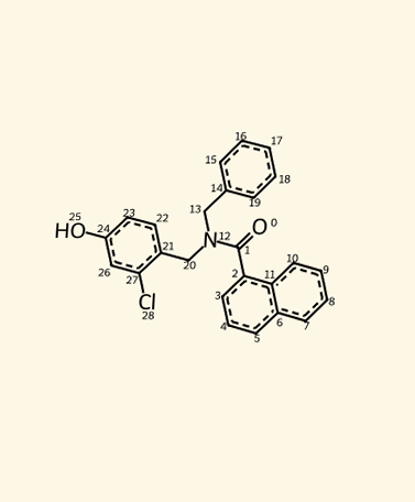 O=C(c1cccc2ccccc12)N(Cc1ccccc1)Cc1ccc(O)cc1Cl